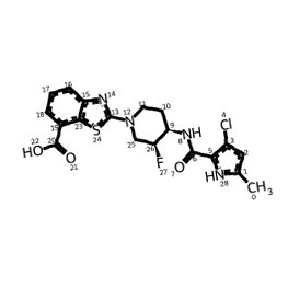 Cc1cc(Cl)c(C(=O)N[C@@H]2CCN(c3nc4cccc(C(=O)O)c4s3)C[C@@H]2F)[nH]1